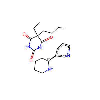 CCCCC1(CC)C(=O)NC(=O)NC1=O.c1cncc([C@@H]2CCCCN2)c1